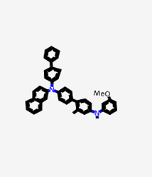 COc1cccc(N(C)c2ccc(-c3ccc(N(c4ccc(-c5ccccc5)cc4)c4ccc5ccccc5c4)cc3)c(C)c2)c1